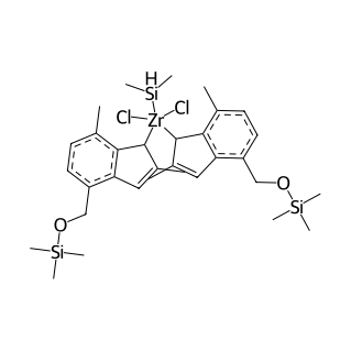 CC1=Cc2c(CO[Si](C)(C)C)ccc(C)c2[CH]1[Zr]([Cl])([Cl])([CH]1C(C)=Cc2c(CO[Si](C)(C)C)ccc(C)c21)[SiH](C)C